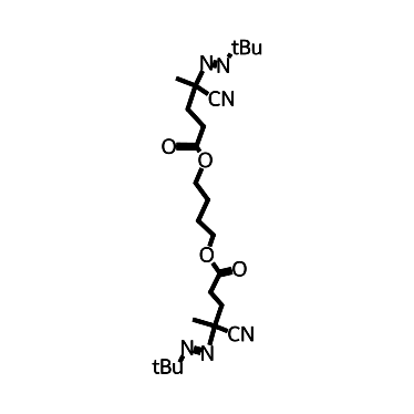 CC(C)(C)/N=N/C(C)(C#N)CCC(=O)OCCCCOC(=O)CCC(C)(C#N)/N=N/C(C)(C)C